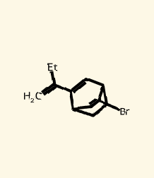 C=C(CC)C1=CC2CCC1C=C2Br